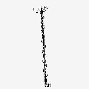 C=C(C)C(=O)OCCOCCOCCOCCOCCOCCOCCOCCOCCOCCOCCOCCOCCOCCOCCO